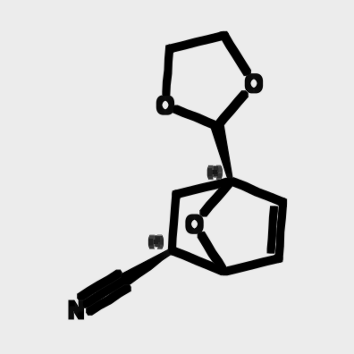 N#C[C@H]1C[C@]2(C3OCCO3)C=CC1O2